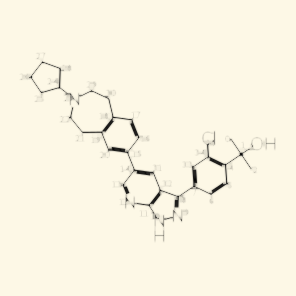 CC(C)(O)c1ccc(-c2n[nH]c3ncc(-c4ccc5c(c4)CCN(C4CCCC4)CC5)cc23)cc1Cl